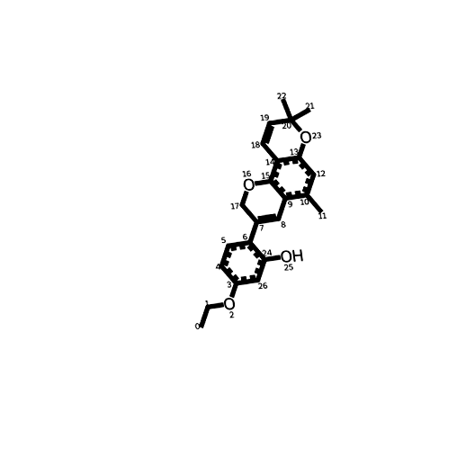 CCOc1ccc(C2=Cc3c(C)cc4c(c3OC2)C=CC(C)(C)O4)c(O)c1